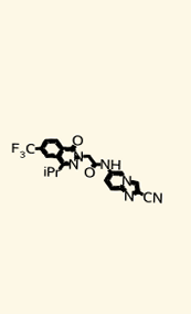 CC(C)c1nn(CC(=O)Nc2ccc3nc(C#N)cn3c2)c(=O)c2ccc(C(F)(F)F)cc12